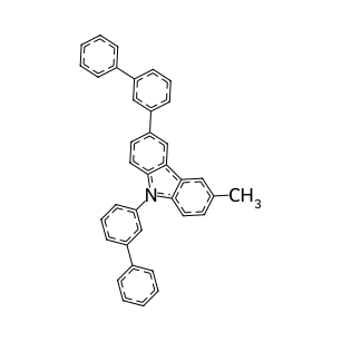 Cc1ccc2c(c1)c1cc(-c3cccc(-c4ccccc4)c3)ccc1n2-c1cccc(-c2ccccc2)c1